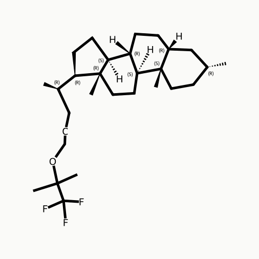 C[C@@H]1CC[C@@]2(C)[C@H](CC[C@@H]3[C@@H]2CC[C@]2(C)[C@@H]([C@H](C)CCCOC(C)(C)C(F)(F)F)CC[C@@H]32)C1